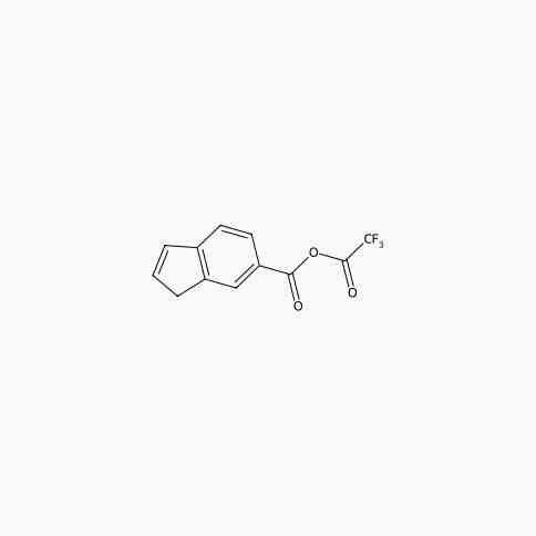 O=C(OC(=O)C(F)(F)F)c1ccc2c(c1)CC=C2